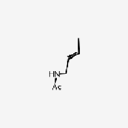 CC=CCNC(C)=O